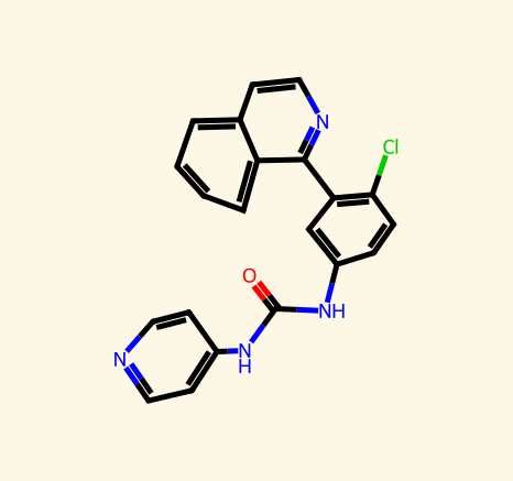 O=C(Nc1ccncc1)Nc1ccc(Cl)c(-c2nccc3ccccc23)c1